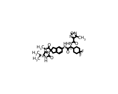 CNC(=O)C1(N2C[C@@H](C(C)C)NC2=O)Cc2ccc(NC(=O)[C@@H](NC(=O)c3nonc3C)C3CCC(F)(F)CC3)cc2C1